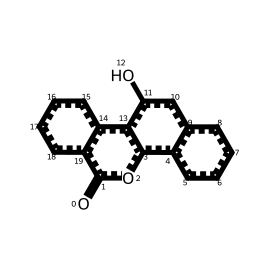 O=c1oc2c3ccccc3cc(O)c2c2ccccc12